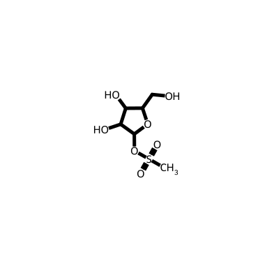 CS(=O)(=O)OC1OC(CO)C(O)C1O